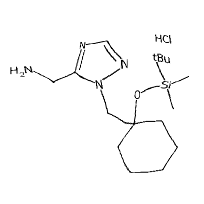 CC(C)(C)[Si](C)(C)OC1(Cn2ncnc2CN)CCCCC1.Cl